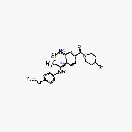 CC/N=C1/C=C(C(=O)N2CCC(Br)CC2)C=C/C1=C(/C)Nc1ccc(OC(F)(F)F)cc1